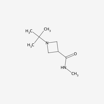 CNC(=O)C1CN(C(C)(C)C)C1